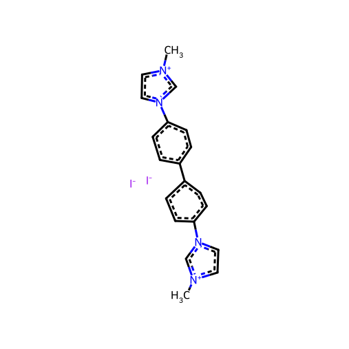 C[n+]1ccn(-c2ccc(-c3ccc(-n4cc[n+](C)c4)cc3)cc2)c1.[I-].[I-]